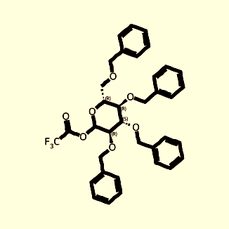 O=C(OC1O[C@H](COCc2ccccc2)[C@@H](OCc2ccccc2)[C@H](OCc2ccccc2)[C@H]1OCc1ccccc1)C(F)(F)F